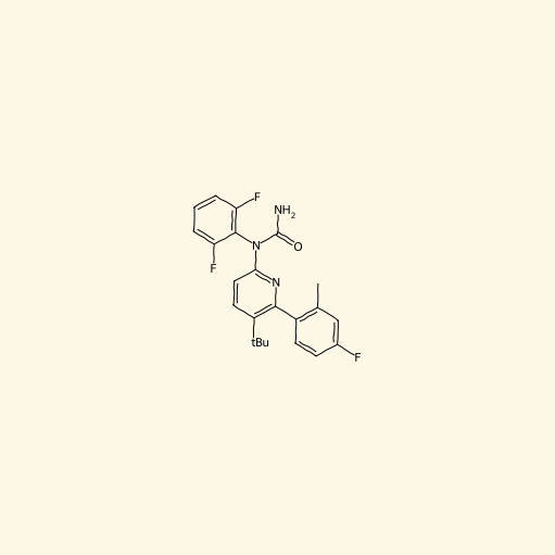 Cc1cc(F)ccc1-c1nc(N(C(N)=O)c2c(F)cccc2F)ccc1C(C)(C)C